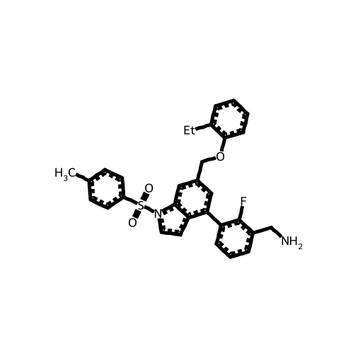 CCc1ccccc1OCc1cc(-c2cccc(CN)c2F)c2ccn(S(=O)(=O)c3ccc(C)cc3)c2c1